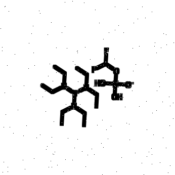 CCN(CC)[S+](N(CC)CC)N(CC)CC.[O-][Si](O)(O)OC(F)F